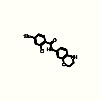 CC(C)(C)c1ccc(C(=O)Nc2ccc3c(c2)OCCN3)c(Cl)c1